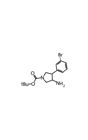 CC(C)(C)OC(=O)N1CC(N)C(c2cccc(Br)c2)C1